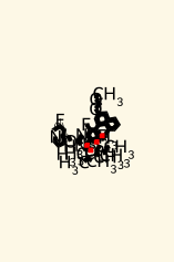 COCOc1cc(-c2c(F)cc3c(OC(C)(C)C)nc(OC[C@@]45CCCN4C[C@H](F)C5)nc3c2F)c2c(C#C[Si](C(C)C)(C(C)C)C(C)C)cccc2c1